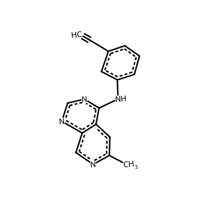 C#Cc1cccc(Nc2ncnc3cnc(C)cc23)c1